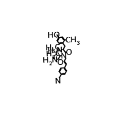 Cc1cc(O)cc(C)c1C[C@H](N)C(=O)N(C/C=C/c1ccc(C#N)cc1)[C@H](C)C(N)=O